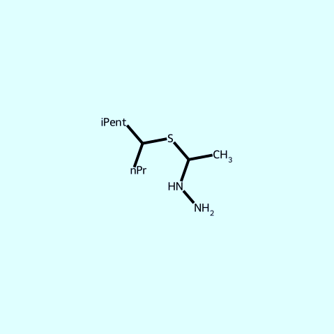 CCCC(C)C(CCC)SC(C)NN